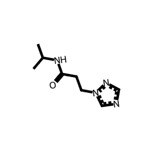 CC(C)NC(=O)CCn1cncn1